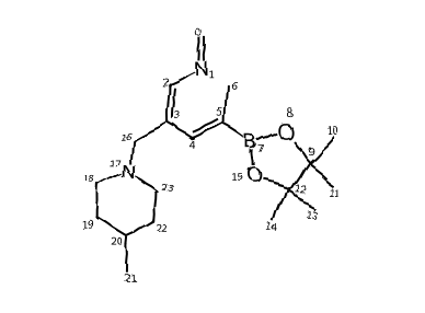 C=N/C=C(\C=C(/C)B1OC(C)(C)C(C)(C)O1)CN1CCC(C)CC1